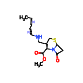 C/C=C\C=C/NCC1=C(C(=O)OC)N2C(=O)CC2SC1